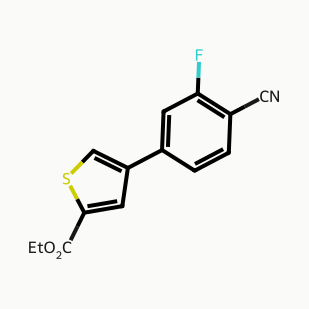 CCOC(=O)c1cc(-c2ccc(C#N)c(F)c2)cs1